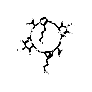 CCCCCc1c2ccn1C(C(=O)O)CCC(=O)NC(C(=O)N(C)C(=O)O)CSc1ccn(c1CCCCC)C(C(=O)O)CCC(=O)NC(C(=O)N(C)C(=O)O)CS2